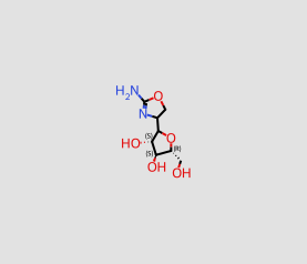 NC1=NC(C2O[C@H](CO)[C@@H](O)[C@@H]2O)CO1